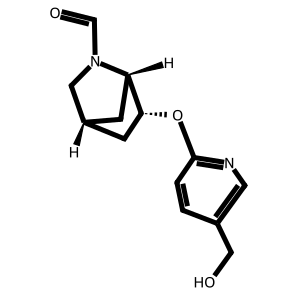 O=CN1C[C@H]2C[C@@H](Oc3ccc(CO)cn3)[C@@H]1C2